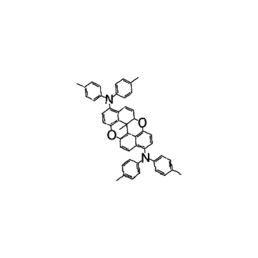 Cc1ccc(N(c2ccc(C)cc2)c2ccc3c4c2C=CC2Oc5ccc(N(c6ccc(C)cc6)c6ccc(C)cc6)c6ccc(c(c56)C42C)O3)cc1